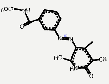 CCCCCCCCNC(=O)c1cccc(/N=N/c2c(O)[nH]c(=O)c(C#N)c2C)c1